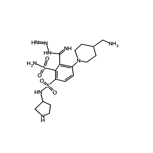 N=NNC(=N)c1c(N2CCC(CN)CC2)ccc(S(=O)(=O)NC2CCNC2)c1S(N)(=O)=O